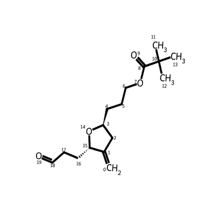 C=C1C[C@H](CCCOC(=O)C(C)(C)C)O[C@H]1CCC=O